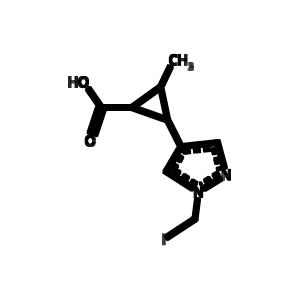 CC1C(C(=O)O)C1c1cnn(CI)c1